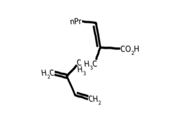 C=CC(=C)C.CCCC=C(C)C(=O)O